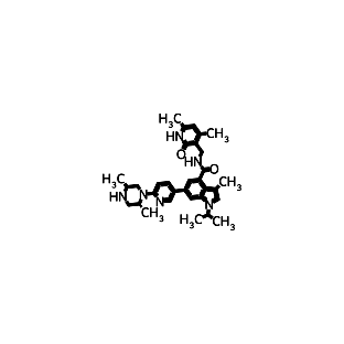 Cc1cc(C)c(CNC(=O)c2cc(-c3ccc(N4CC(C)NC[C@@H]4C)nc3)cc3c2c(C)cn3C(C)C)c(=O)[nH]1